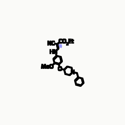 CCOC(=O)/C(C#N)=C/Nc1ccc(OC2CCN(Cc3ccccc3)CC2)c(OC)c1